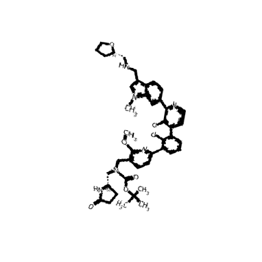 COc1nc(-c2cccc(-c3ccnc(-c4ccc5c(CNC[C@@H]6CCCO6)cn(C)c5c4)c3Cl)c2Cl)ccc1CN(C[C@@H]1CCC(=O)N1)C(=O)OC(C)(C)C